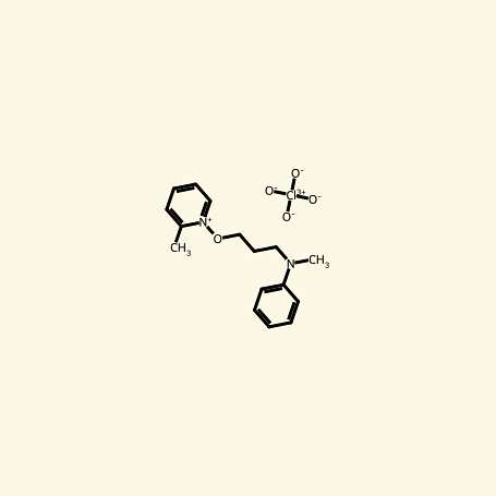 Cc1cccc[n+]1OCCCN(C)c1ccccc1.[O-][Cl+3]([O-])([O-])[O-]